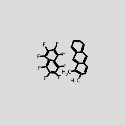 Cc1ccc2cc3ccccc3cc2c1C.Fc1c(F)c(F)c2c(F)c(F)c(F)c(F)c2c1F